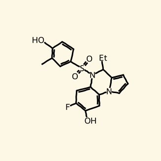 CCC1c2cccn2-c2cc(O)c(F)cc2N1S(=O)(=O)c1ccc(O)c(C)c1